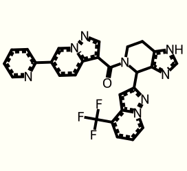 O=C(c1cnn2cc(-c3ccccn3)ccc12)N1CCc2[nH]cnc2C1c1cc2c(C(F)(F)F)cccn2n1